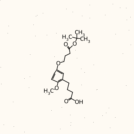 COc1ccc(OCCCC(=O)OC(C)(C)C)cc1CCCC(=O)O